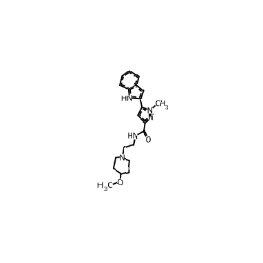 COC1CCN(CCNC(=O)c2cc(-c3cc4ccccc4[nH]3)n(C)n2)CC1